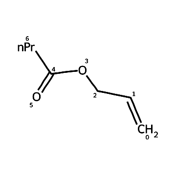 C=CCOC(=O)CCC